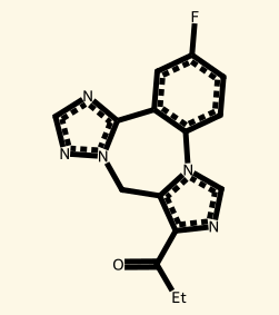 CCC(=O)c1ncn2c1Cn1ncnc1-c1cc(F)ccc1-2